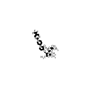 C[C@H]1OC(C)(C)N(C(=O)OC(C)(C)C)[C@@H]1COC1CCN(C2CCN(c3ncc(C(F)(F)F)cn3)CC2)C1=O